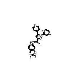 O=C(Nc1ccc2c(c1)OC(F)(F)O2)c1cc(-c2ccncc2)n(-c2cnccn2)n1